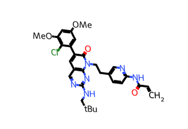 C=CC(=O)Nc1ccc(CCn2c(=O)c(-c3cc(OC)cc(OC)c3Cl)cc3cnc(NCC(C)(C)C)nc32)cn1